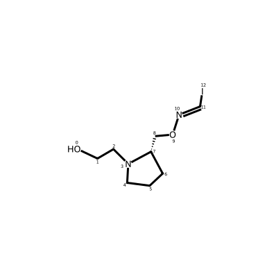 OCCN1CCC[C@H]1CO/N=C/I